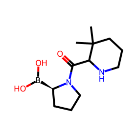 CC1(C)CCCNC1C(=O)N1CCC[C@H]1B(O)O